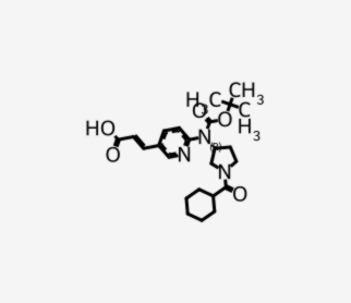 CC(C)(C)OC(=O)N(c1ccc(C=CC(=O)O)cn1)[C@@H]1CCN(C(=O)C2CCCCC2)C1